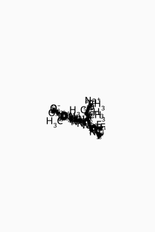 COCC(C)(C)CN(C)c1cc(-c2cnc(C3CC3)c(C(F)(F)F)c2)nc2nc(-c3cnc(N4CCN(CCC(=O)[O-])[C@@H](C)C4)cn3)[nH]c12.[Na+]